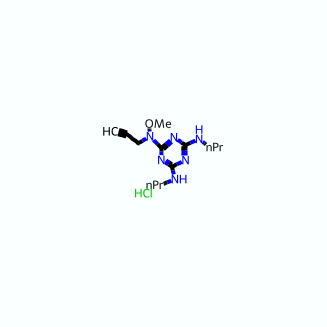 C#CCN(OC)c1nc(NCCC)nc(NCCC)n1.Cl